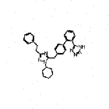 c1ccc(CCc2nc(Cc3ccc(-c4ccccc4-c4nnn[nH]4)cc3)n(C3CCCCC3)n2)cc1